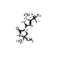 Cn1nc(N2CC(C)(C)NC2=O)cc1C(F)(F)F